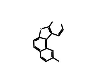 C/C=C\c1c(C)sc2ccc3ccc(C)cc3c12